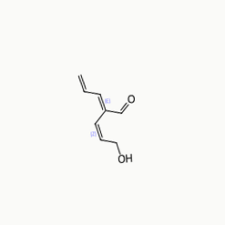 C=C/C=C(C=O)\C=C/CO